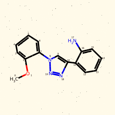 COc1ccccc1-n1cc(-c2ccccc2N)nn1